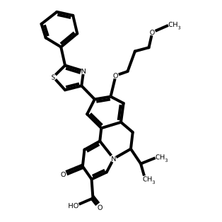 COCCCOc1cc2c(cc1-c1csc(-c3ccccc3)n1)-c1cc(=O)c(C(=O)O)cn1C(C(C)C)C2